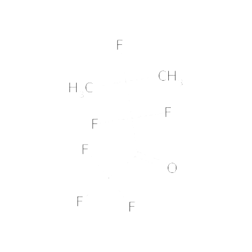 CC(C)(F)C(F)(F)C(=O)C(F)(F)F